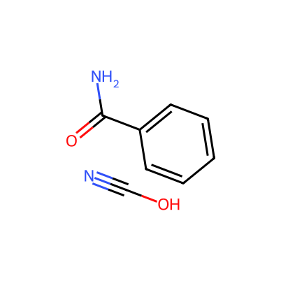 N#CO.NC(=O)c1ccccc1